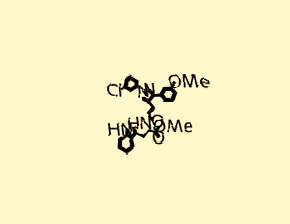 COC(=O)C(Cc1c[nH]c2ccccc12)NC(=O)/C=C/c1cn(-c2cccc(Cl)c2)nc1-c1cccc(OC)c1